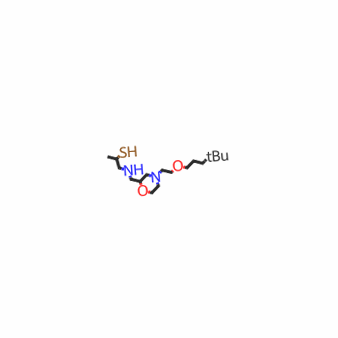 CC(S)CNCC1CN(CCOCCCC(C)(C)C)CCO1